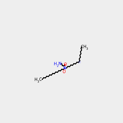 CCCCCCCC/C=C\CCCCCCCCN(C(=O)CCN)C(=O)CCCCCCCCCCCCCCC